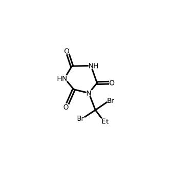 CCC(Br)(Br)n1c(=O)[nH]c(=O)[nH]c1=O